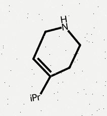 CC(C)C1=CCNCC1